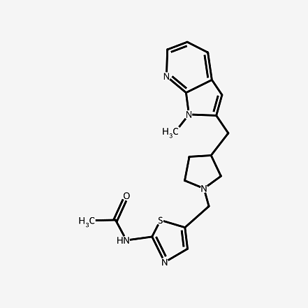 CC(=O)Nc1ncc(CN2CCC(Cc3cc4cccnc4n3C)C2)s1